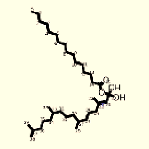 CCCCCCCCCCCCCCCC(=O)OC(O)(O)/C=C(\C)CCCC(C)CCCC(C)CCCC(C)C